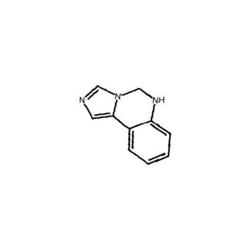 c1ccc2c(c1)NCn1cncc1-2